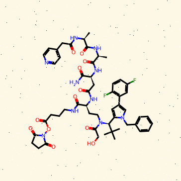 C[C@H](NC(=O)Cc1ccncc1)C(=O)N[C@@H](C)C(=O)N[C@@H](CC(=O)N[C@@H](CCN(C(=O)CO)[C@@H](c1cc(-c2cc(F)ccc2F)cn1Cc1ccccc1)C(C)(C)C)C(=O)NCCCC(=O)ON1C(=O)CCC1=O)C(N)=O